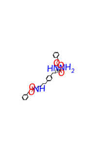 NC(=O)[C@H](CCc1ccc(CCCCNC(=O)OCc2ccccc2)cc1)NC(=O)OCc1ccccc1